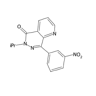 CC(C)n1nc(-c2cccc([N+](=O)[O-])c2)c2ncccc2c1=O